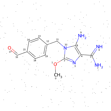 COc1nc(C(=N)N)c(N)n1Cc1ccc(C=O)cc1